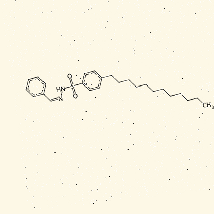 CCCCCCCCCCCCc1ccc(S(=O)(=O)N/N=C\c2ccccc2)cc1